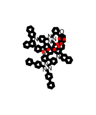 c1ccc(-c2ccc(-c3nc(-c4ccc(-c5ccccc5)cc4)nc(-c4ccc(-n5c6cc7ccccc7cc6c6c7ccc(-c8ccc9oc%10cccc(-c%11nc(-c%12ccc(-n%13c%14cc%15ccccc%15cc%14c%14c%15ccccc%15ccc%14%13)cc%12-c%12cccc%13sc%14ccccc%14c%12%13)nc(-c%12cccc%13oc%14ccccc%14c%12%13)n%11)c%10c9c8)cc7ccc65)cc4-c4cccc5sc6ccccc6c45)n3)cc2)cc1